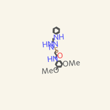 COc1cc(NC(=O)CSc2n[nH]c(CNc3ccccc3)n2)cc(OC)c1